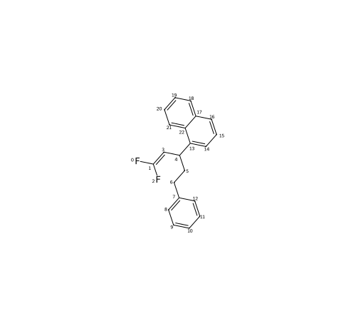 FC(F)=CC(CCc1ccccc1)c1cccc2ccccc12